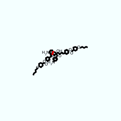 CCCCCOC1CCC(C(=O)Oc2ccc(/C=C/C(=O)C(O)C(Cc3ccc(N)cc3)(Cc3ccc(N)cc3)C(O)C(=O)/C=C/c3ccc(OC(=O)C4CCC(OCCCCC)CC4)cc3)cc2)CC1